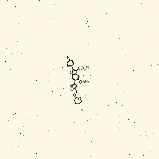 CCOC(=O)c1c(-c2ccc(F)cc2)oc2cc(-c3cc(COC4CCCCO4)on3)c(OC)cc12